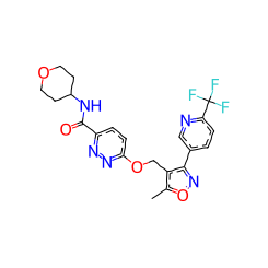 Cc1onc(-c2ccc(C(F)(F)F)nc2)c1COc1ccc(C(=O)NC2CCOCC2)nn1